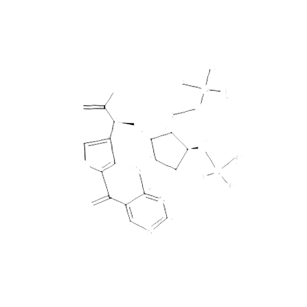 C=C(C)[C@@H](O)c1coc(C(=O)c2cncnc2N[C@@H]2C[C@H](CO[Si](C)(C)C(C)(C)C)[C@@H](O[Si](C(C)C)(C(C)C)C(C)C)C2)c1